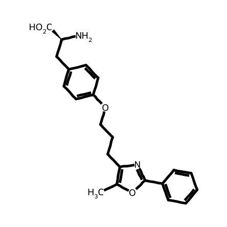 Cc1oc(-c2ccccc2)nc1CCCOc1ccc(C[C@H](N)C(=O)O)cc1